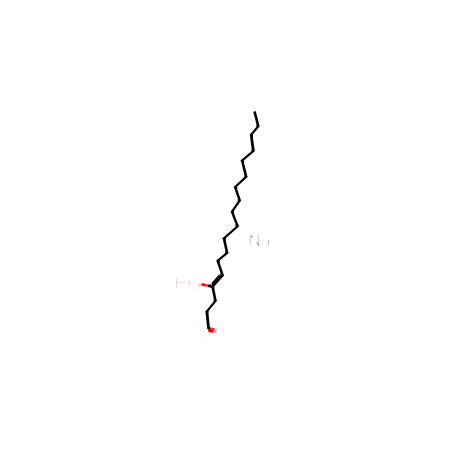 CCCCCCCCCCCCCC=C(O)CCC(=O)[O-].[Na+]